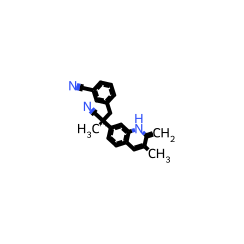 C=C1Nc2cc([C@](C)(C#N)Cc3cccc(C#N)c3)ccc2C=C1C